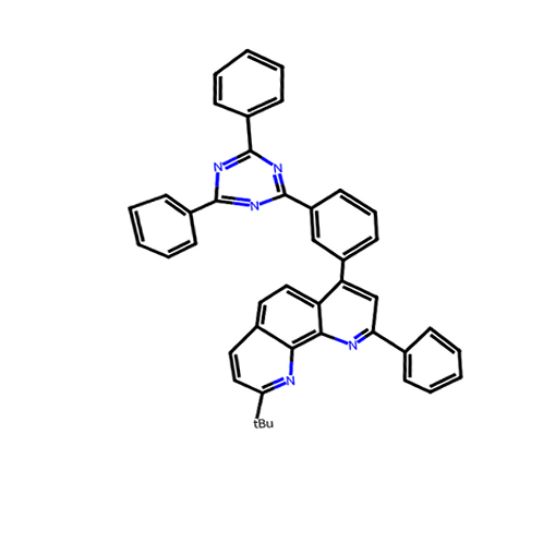 CC(C)(C)c1ccc2ccc3c(-c4cccc(-c5nc(-c6ccccc6)nc(-c6ccccc6)n5)c4)cc(-c4ccccc4)nc3c2n1